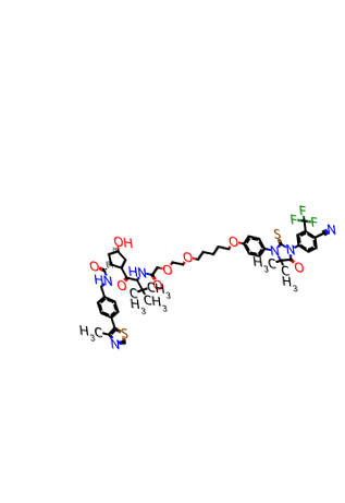 Cc1ncsc1-c1ccc(CNC(=O)[C@@H]2C[C@@H](O)CC2C(=O)C(NC(=O)COCCOCCCCCOc2ccc(N3C(=S)N(c4ccc(C#N)c(C(F)(F)F)c4)C(=O)C3(C)C)cc2)C(C)(C)C)cc1